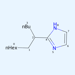 CCCCCCCC(CCCC)c1ncc[nH]1